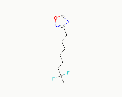 CC(F)(F)CCCCCCc1n[c]on1